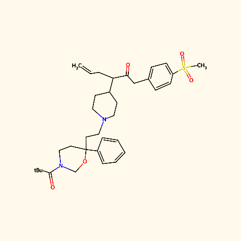 C=CCC(C(=O)Cc1ccc(S(C)(=O)=O)cc1)C1CCN(CCC2(c3ccccc3)CCN(C(=O)C(C)(C)C)CO2)CC1